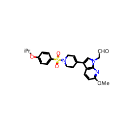 COc1ccc2c(C3=CCN(S(=O)(=O)c4ccc(OC(C)C)cc4)CC3)cn(CC=O)c2n1